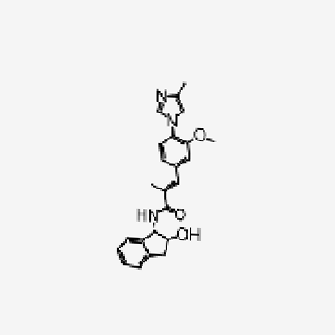 COc1cc(/C=C(\C)C(=O)N[C@@H]2c3ccccc3C[C@@H]2O)ccc1-n1cnc(C)c1